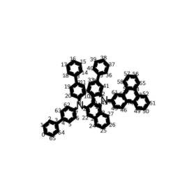 c1ccc(-c2ccc(N(c3ccc(-c4ccccc4)cc3)c3cc4ccccc4c4c3c3ccc(-c5ccccc5)cc3n4-c3ccc4c5ccccc5c5ccccc5c4c3)cc2)cc1